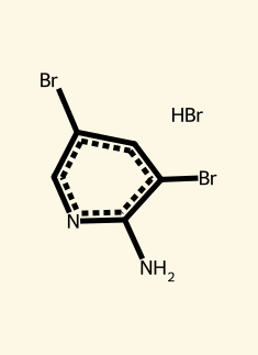 Br.Nc1ncc(Br)cc1Br